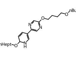 CCCCCCCOC1C=CC(c2cnc(OCCCCOCCCC)cn2)=CN1